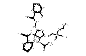 CCOP(C)(=O)CO[C@H]1O[C@@H](COC(=O)c2ccccc2I)[C@](C)(OC(=O)c2ccccc2)C1OC(C)=O